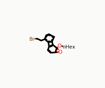 CCCCCCOC12OC1C=CC1=C2c2cccc(CCBr)c21